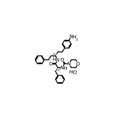 Cl.Nc1ccc(CC[C@H](CCc2ccccc2)NC(=O)[C@H](Cc2ccccc2)NC(=O)N2CCOCC2)cc1